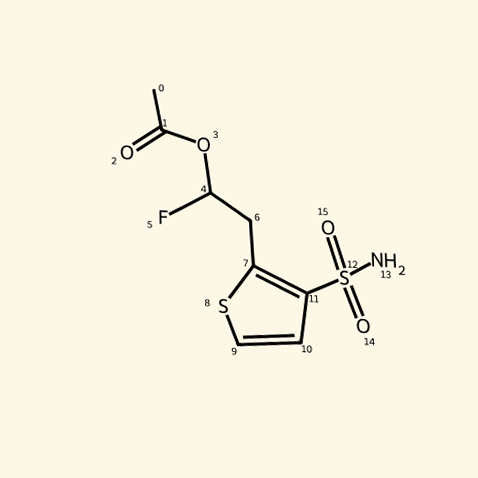 CC(=O)OC(F)Cc1sccc1S(N)(=O)=O